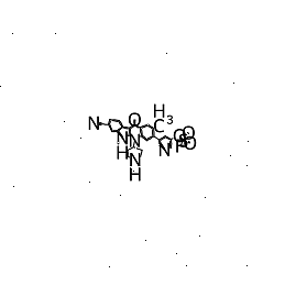 Cc1cc2c(=O)c3c4ccc(C#N)cc4[nH]c3n(C3CCNCC3)c2cc1-c1cncc(OS(=O)(=O)F)c1